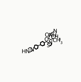 CC(C)CC(OC(c1ccc(-c2ccc(N3CCNCC3)cc2)cc1)c1nccs1)C(=O)NCC#N